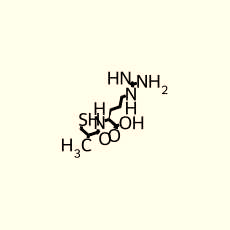 CC(CS)C(=O)N[C@@H](CCCNC(=N)N)C(=O)O